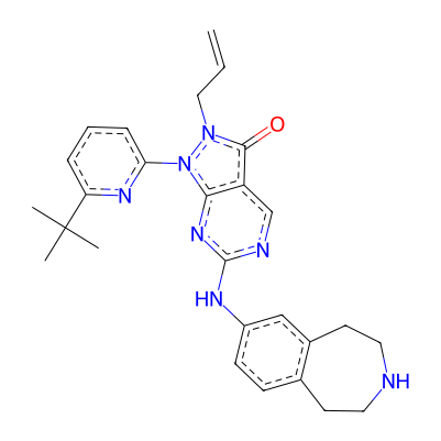 C=CCn1c(=O)c2cnc(Nc3ccc4c(c3)CCNCC4)nc2n1-c1cccc(C(C)(C)C)n1